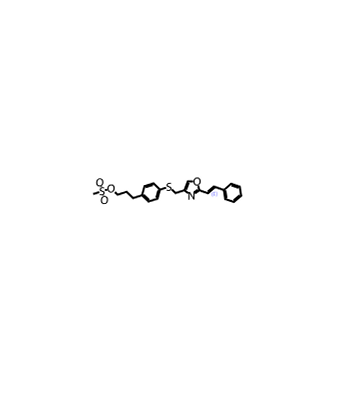 CS(=O)(=O)OCCCc1ccc(SCc2coc(/C=C/c3ccccc3)n2)cc1